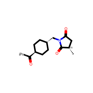 CC(C)C(=O)[C@H]1CC[C@H](CN2C(=O)C[C@H](C)C2=O)CC1